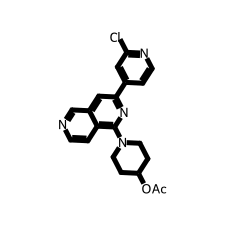 CC(=O)OC1CCN(c2nc(-c3ccnc(Cl)c3)cc3cnccc23)CC1